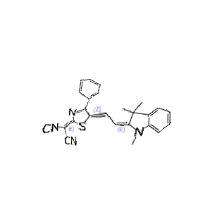 [C-]#[N+]/C(C#N)=c1\nc(-c2ccccc2)/c(=C/C=C2/N(C)c3ccccc3C2(C)C)s1